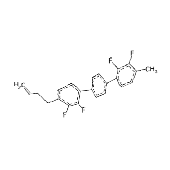 C=CCCc1ccc(-c2ccc(-c3ccc(C)c(F)c3F)cc2)c(F)c1F